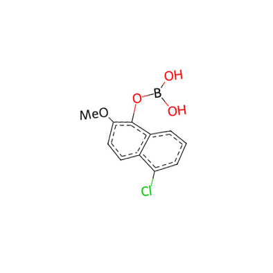 COc1ccc2c(Cl)cccc2c1OB(O)O